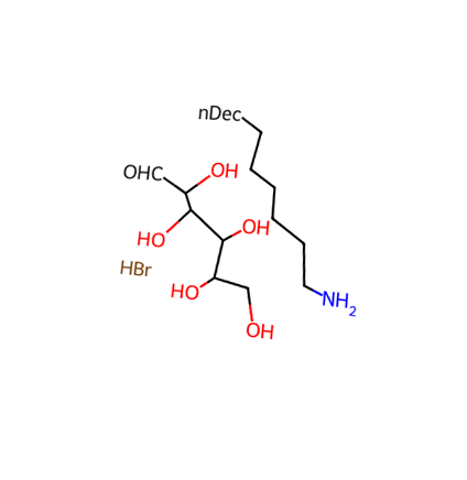 Br.CCCCCCCCCCCCCCCCN.O=CC(O)C(O)C(O)C(O)CO